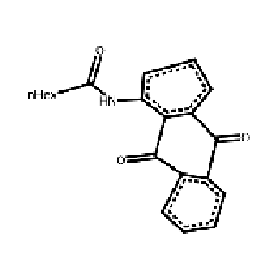 CCCCCCC(=O)Nc1cccc2c1C(=O)c1ccccc1C2=O